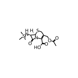 CC(=O)OCC1=C(C(=O)O)N2C(=O)[C@@H](N[Si](C)(C)C)[C@H]2SC1